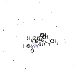 CCCOC(/C=C(\C)C(=O)O)[Si](OC)(OC)OC